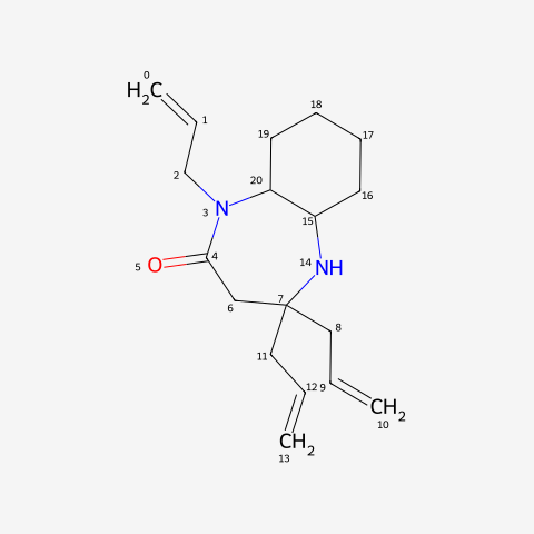 C=CCN1C(=O)CC(CC=C)(CC=C)NC2CCCCC21